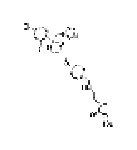 CC(C)(C)OC(=O)NCCNCc1ccc(OC[C@@H]2CO[C@@](Cn3ccnc3)(c3ccc(Cl)cc3Cl)O2)cc1